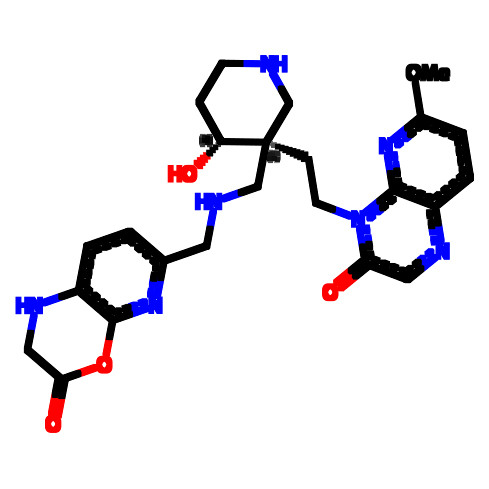 COc1ccc2ncc(=O)n(CC[C@@]3(CNCc4ccc5c(n4)OC(=O)CN5)CNCC[C@H]3O)c2n1